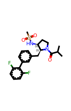 CC(C)C(=O)N1CC[C@H](NS(C)(=O)=O)[C@@H]1Cc1cccc(-c2c(F)cccc2F)c1